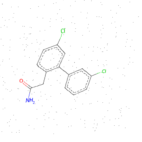 NC(=O)Cc1ccc(Cl)cc1-c1cccc(Cl)c1